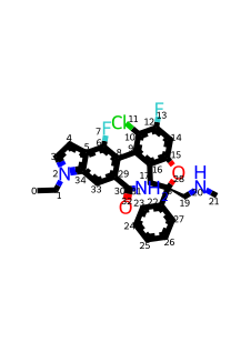 CCn1ccc2c(F)c(-c3c(Cl)c(F)cc4c3C[C@@](CNC)(c3ccccc3)O4)c(C(N)=O)cc21